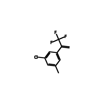 C=C(c1cc(C)cc(Cl)c1)C(F)(F)F